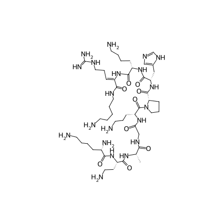 C[C@H](NC(=O)[C@H](CCN)NC(=O)[C@@H](N)CCCCN)C(=O)NCC(=O)N[C@H](CCCN)C(=O)N1CCC[C@H]1C(=O)N[C@@H](Cc1cnc[nH]1)C(=O)N[C@@H](CCCCN)C(=O)N/C(=C\CCNC(=N)N)C(=O)NCCCCCN